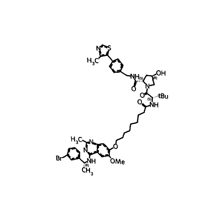 COc1cc2c(N[C@H](C)c3cccc(Br)c3)nc(C)nc2cc1OCCCCCCCCC(=O)N[C@H](C(=O)N1C[C@H](O)C[C@H]1C(=O)NCc1ccc(-c2scnc2C)cc1)C(C)(C)C